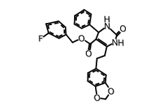 O=C1NC(CCc2ccc3c(c2)OCO3)=C(C(=O)OCc2cccc(F)c2)C(c2ccccc2)N1